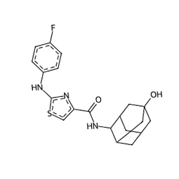 O=C(NC1C2CC3CC1CC(O)(C3)C2)c1csc(Nc2ccc(F)cc2)n1